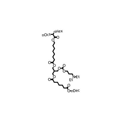 CCCCCCCCCCOC(=O)CCCCCC(=O)OCC(COC(=O)CCCCCCCOC(=O)C(CCCCCC)CCCCCCCC)COC(=O)OCCCN(CC)CC